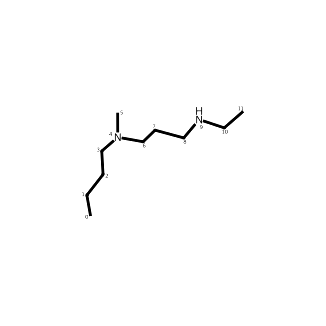 CCCCN(C)CCCNCC